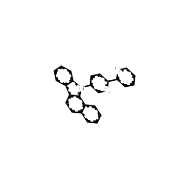 c1ccc(-c2ccc(-n3c4ccccc4c4ccc5ccccc5c43)cn2)nc1